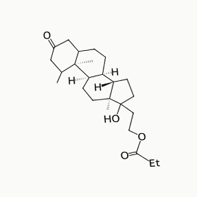 CCC(=O)OCCC1(O)CC[C@H]2[C@@H]3CCC4CC(=O)CC(C)[C@]4(C)[C@@H]3CC[C@@]21C